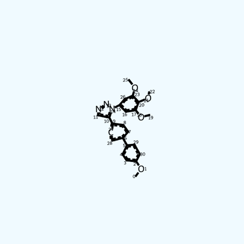 COc1ccc(-c2ccc(-c3cnnn3-c3cc(OC)c(OC)c(OC)c3)cc2)cc1